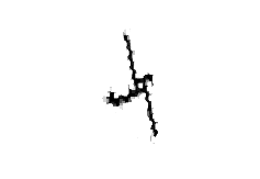 CCCCCCCCCCc1c2cc(C(=O)CC(=O)C(F)(F)F)sc2c(CCCCCCCCCC)c2ccsc12